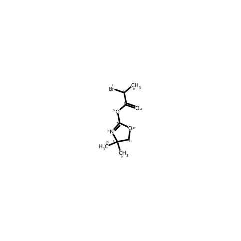 CC(Br)C(=O)OC1=NC(C)(C)CO1